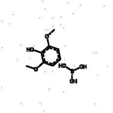 COc1cccc(OC)c1O.OB(O)O